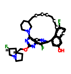 Oc1cc2c3c(c(F)ccc3c1)CCCCCCCC1CCCN(C1)c1nc(OC[C@@]34CCCN3C[C@H](F)C4)nc3c(F)c-2ncc13